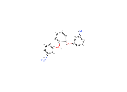 Nc1cccc(Oc2ccccc2Oc2cccc(N)c2)c1